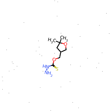 CC1(C)CC(COC(=S)NN)CO1